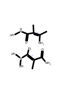 CCCN(CCC)/C(CC)=C(\C)C(N)=O.CCCNC(=O)/C(C)=C(/C)N